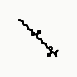 C=C(C)C(=O)OCCCCCC(=O)OCCCCCC